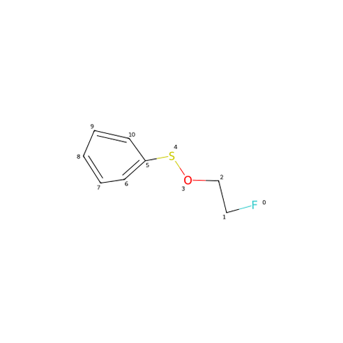 FCCOSc1ccccc1